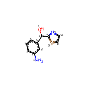 Nc1cccc(C(O)c2nccs2)c1